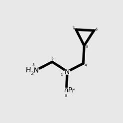 CCCN(CN)CC1CC1